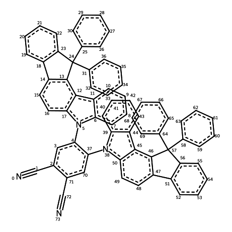 N#Cc1cc(-n2c3ccccc3c3c4c(ccc32)-c2ccccc2C4(c2ccccc2)c2ccccc2)c(-n2c3ccccc3c3c4c(ccc32)-c2ccccc2C4(c2ccccc2)c2ccccc2)cc1C#N